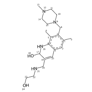 Cc1cc2c(c(C)c1CN1CCN(C)CC1)NC(O)C(CNCCO)=C2